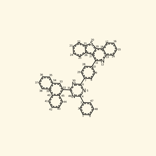 c1ccc(-c2nc(-c3ccc(-c4nc5ccccc5c5sc6ccccc6c45)cc3)nc(-c3cc4ccccc4c4ccccc34)n2)cc1